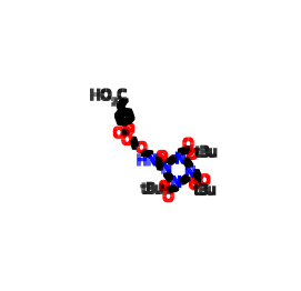 CC(C)(C)OC(=O)CN1CCN(CC(=O)NCCOCCOC(=O)Oc2ccc(CCC(=O)O)cc2)CCN(CC(=O)OC(C)(C)C)CCN(CC(=O)OC(C)(C)C)CC1